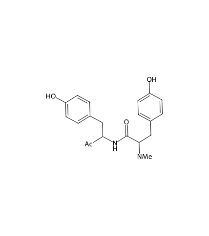 CNC(Cc1ccc(O)cc1)C(=O)NC(Cc1ccc(O)cc1)C(C)=O